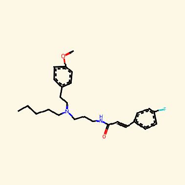 CCCCCN(CCCNC(=O)/C=C/c1ccc(F)cc1)CCc1ccc(OC)cc1